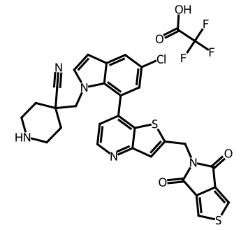 N#CC1(Cn2ccc3cc(Cl)cc(-c4ccnc5cc(CN6C(=O)c7cscc7C6=O)sc45)c32)CCNCC1.O=C(O)C(F)(F)F